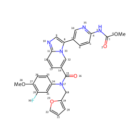 COC(=O)Nc1ccc(-c2cnc3ccc(C(=O)N(Cc4ccco4)c4ccc(OC)c(F)c4)cn23)cn1